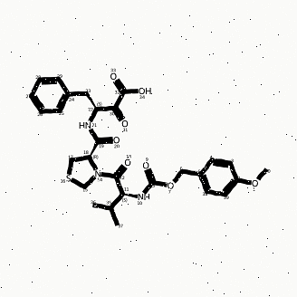 COc1ccc(COC(=O)N[C@H](C(=O)N2CSC[C@H]2C(=O)N[C@@H](Cc2ccccc2)C(=O)C(=O)O)C(C)C)cc1